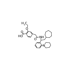 CCOc1cc(CC(=O)NC(CC2CCCCCC2)c2ccccc2N2CCCCC2)ccc1C(=O)O